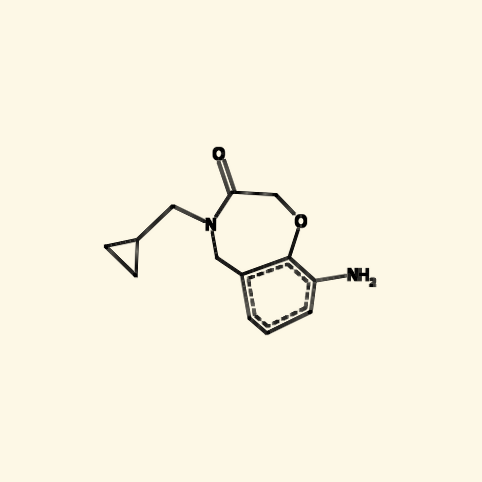 Nc1cccc2c1OCC(=O)N(CC1CC1)C2